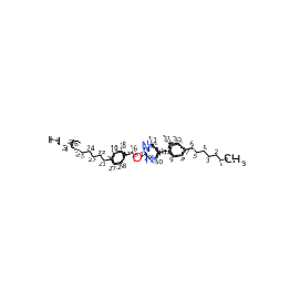 CCCCCCCc1ccc(-c2cnc(OCc3ccc(CCCCCC)cc3)nc2)cc1